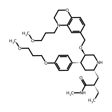 CC[C@@H](C[C@@H]1C[C@H](c2ccc(OCCCOC)cc2)[C@@H](OCc2ccc3c(c2)N(CCCOC)CCO3)CN1)C(=O)NC